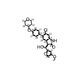 COc1cc(C(O)=C2C(=O)Nc3cc(Cl)c(-c4ccc(OC5CCOCC5)cc4)cc32)on1